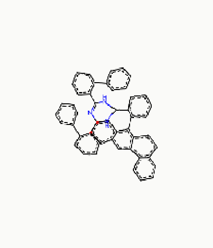 c1ccc(-c2ccccc2C2=NC(c3ccccc3-c3ccccc3)NC(c3ccccc3-c3c4ccccc4cc4c3ccc3ccccc34)N2)cc1